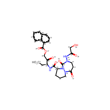 O=C(O)C[C@H](NC(=O)[C@@H]1CCCN2C(=O)CCN(NC(=O)CO)C(=O)N12)C(=O)COC(=O)c1cccc2ccccc12